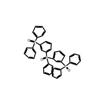 O=P(c1ccccc1)(c1ccccc1)c1cccc(P(=O)(c2ccccc2)c2cccc(P(=O)(c3ccccc3)c3ccccc3)c2)c1